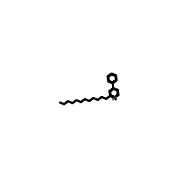 CCCCCCCCCCCCc1cc(-c2ccccc2)ccn1